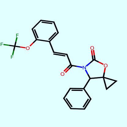 O=C(/C=C/c1ccccc1OC(F)(F)F)N1C(=O)OC2(CC2)C1c1ccccc1